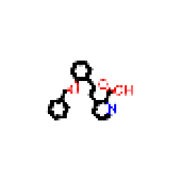 O=C(O)c1ncccc1C=Cc1ccccc1OCc1ccccc1